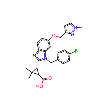 Cn1ccc(COc2ccc3nc([C@@H]4[C@@H](C(=O)O)C4(C)C)n(Cc4ccc(Br)cc4)c3c2)n1